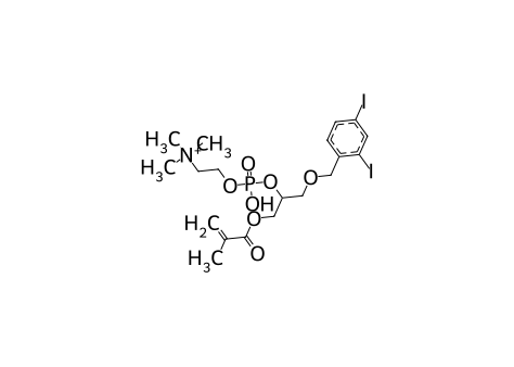 C=C(C)C(=O)OCC(COCc1ccc(I)cc1I)OP(=O)(O)OCC[N+](C)(C)C